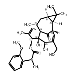 COc1ccccc1N(C)C(=O)O[C@H]1C(C)=C[C@]23C(=O)[C@@H](C=C(CO)[C@@H](O)[C@]12O)[C@H]1[C@@H](C[C@H]3C)C1(C)C